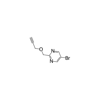 C#CCOCc1ncc(Br)cn1